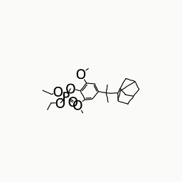 CCOP(=O)(OCC)Oc1c(OC)cc(C(C)(C)C2C3CC4CC(C3)CC2C4)cc1OC